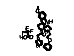 COc1ccc2[nH]c3c(c2c1)CCN(C(=O)Cn1ccnc1)C31CCN(CCOc2ccccc2)C1.O=C(O)C(F)(F)F